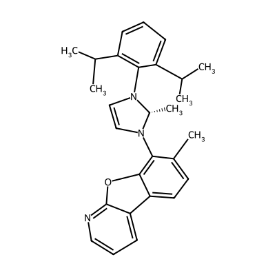 Cc1ccc2c(oc3ncccc32)c1N1C=CN(c2c(C(C)C)cccc2C(C)C)[C@@H]1C